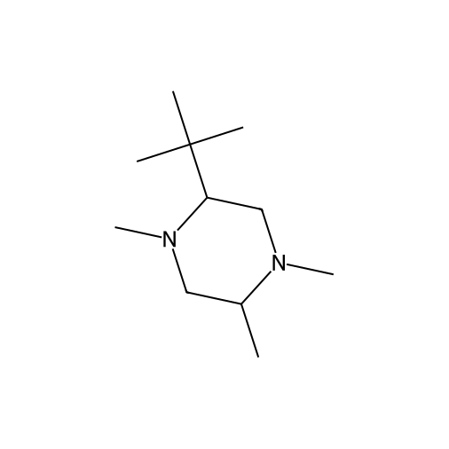 CC1CN(C)C(C(C)(C)C)CN1C